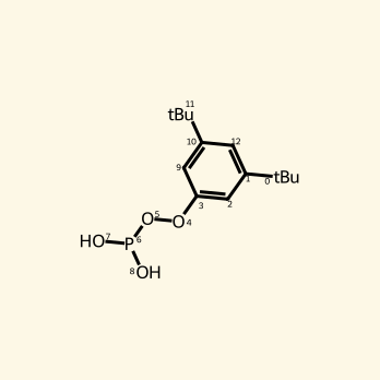 CC(C)(C)c1cc(OOP(O)O)cc(C(C)(C)C)c1